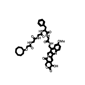 COc1ccc2nc3c(c(CNC(=O)CNC(=O)C(Cc4ccccc4)NC(=O)CNC(=O)CNC(=O)COC4CCCCCCC4)c2c1)Cn1c-3cc2c(c1=O)COC(=O)C2O